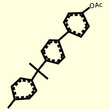 CC(=O)Oc1ccc(-c2ccc(C(C)(C)c3ccc(C)cc3)cc2)cc1